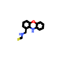 S=CNCc1cccc2c1Nc1ccccc1O2